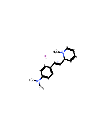 CN(C)c1ccc(/C=C/C2C=CC=CN2C)cc1.I